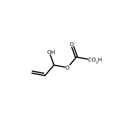 C=CC(O)OC(=O)C(=O)O